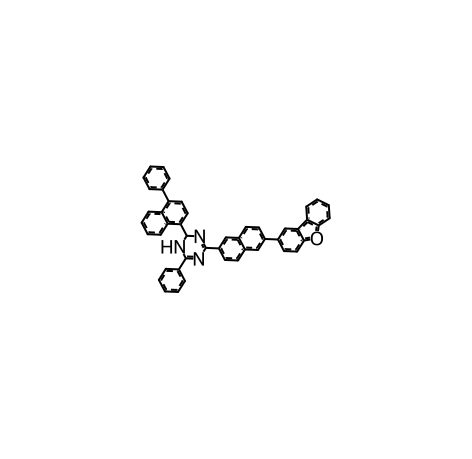 c1ccc(C2=NC(c3ccc4cc(-c5ccc6oc7ccccc7c6c5)ccc4c3)=NC(c3ccc(-c4ccccc4)c4ccccc34)N2)cc1